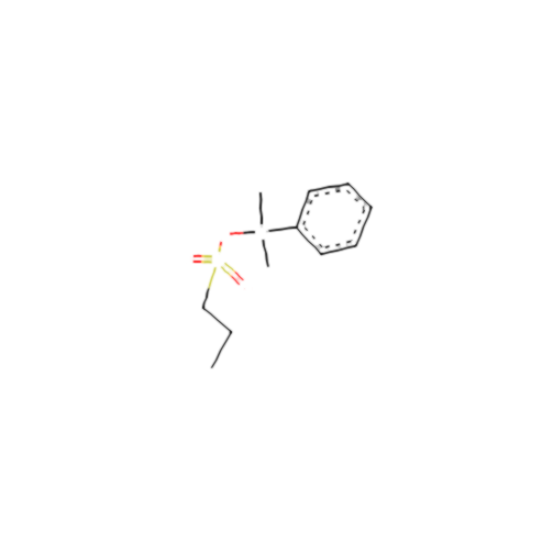 CCCS(=O)(=O)O[Si](C)(C)c1ccccc1